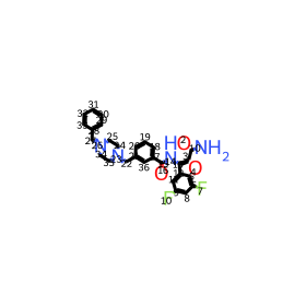 NC(=O)c1oc2c(F)cc(F)cc2c1NC(=O)c1cccc(CN2CCN(Cc3ccccc3)CC2)c1